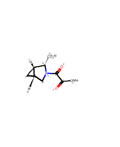 COC(=O)C(=O)N1C[C@@H]2C[C@@H]2[C@@H]1C(=O)O